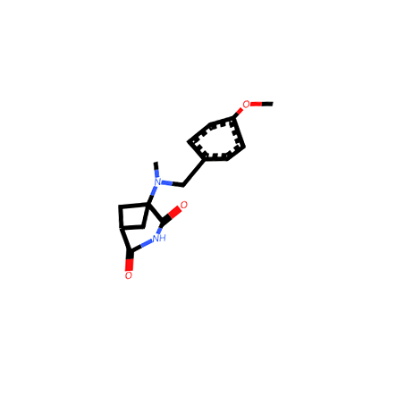 COc1ccc(CN(C)C23CC(C2)C(=O)NC3=O)cc1